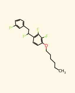 CCCCCCOc1ccc(C(F)Cc2cccc(F)c2)c(F)c1F